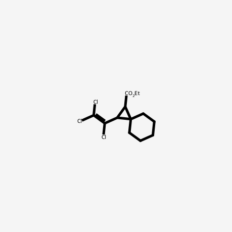 CCOC(=O)C1C(C(Cl)=C(Cl)Cl)C12CCCCC2